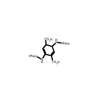 CCCCCNC1=CC(C(=O)O)C(NCCCCC)C=C1C(=O)O